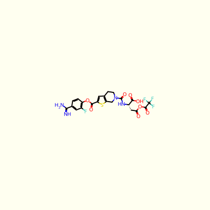 N=C(N)c1ccc(OC(=O)c2cc3c(s2)CN(C(=O)N[C@@H](CC(=O)OC(=O)C(F)(F)F)C(=O)O)CC3)c(F)c1